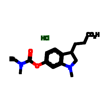 CCN(C)C(=O)Oc1ccc2c(c1)N(C)CC2CCC(=O)O.Cl